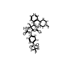 CN1CCC(c2cnccc2C(NC=O)C2(C)NC(=O)N(c3ccc(S(=O)(=O)C(F)(F)F)cc3)C2=O)CC1